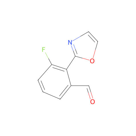 O=Cc1cccc(F)c1-c1ncco1